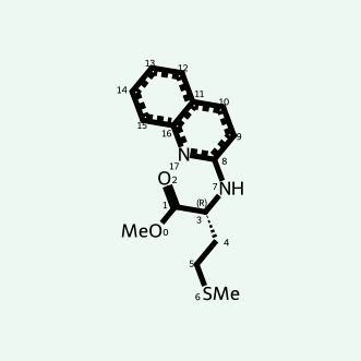 COC(=O)[C@@H](CCSC)Nc1ccc2ccccc2n1